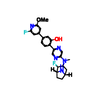 COc1cc(-c2ccc(-c3cnc(N(C)[C@H]4C[C@@H]5CC[C@@H](N5)[C@H]4F)cn3)c(O)c2)cc(F)n1